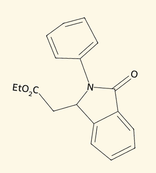 CCOC(=O)CC1c2ccccc2C(=O)N1c1ccccc1